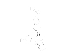 O=C(O)Cc1ccc(CC(=O)N2CCc3c(n(Cc4cccc(F)c4)c4ncccc34)C2)cc1